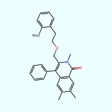 COc1ccccc1CCOCc1c(-c2ccccc2)c2cc(C)c(C)cc2c(=O)n1C